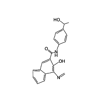 C=Nc1c(O)c(C(=O)Nc2ccc(C(C)O)cc2)cc2ccccc12